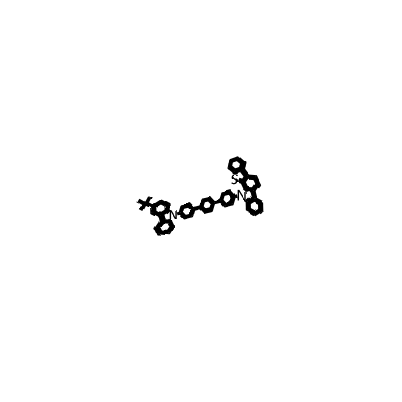 CC(C)(C)c1ccc2c(c1)c1ccccc1n2-c1ccc(-c2ccc(-c3ccc(-n4c5ccccc5c5ccc6c7ccccc7sc6c54)cc3)cc2)cc1